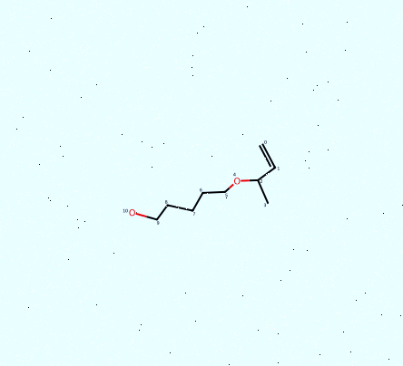 C=CC(C)OCCCCC[O]